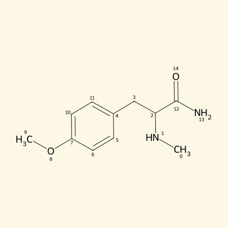 CNC(Cc1ccc(OC)cc1)C(N)=O